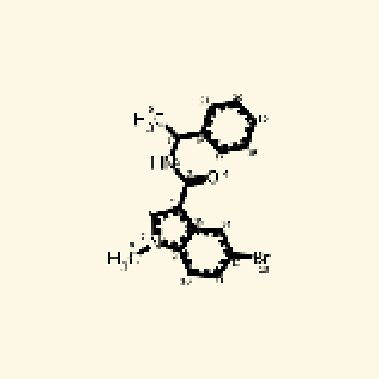 CC(NC(=O)c1cn(C)c2ccc(Br)cc12)c1ccccc1